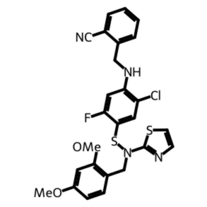 COc1ccc(CN(Sc2cc(Cl)c(NCc3ccccc3C#N)cc2F)c2nccs2)c(OC)c1